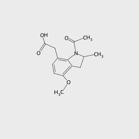 COc1ccc(CC(=O)O)c2c1CC(C)N2C(C)=O